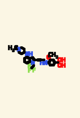 COc1cc(C(O)O)ccc1NCC#Cc1cc2c(NC3CCN(C)CC3)cccc2n1CC(F)(F)F